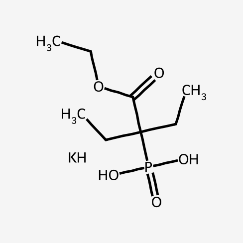 CCOC(=O)C(CC)(CC)P(=O)(O)O.[KH]